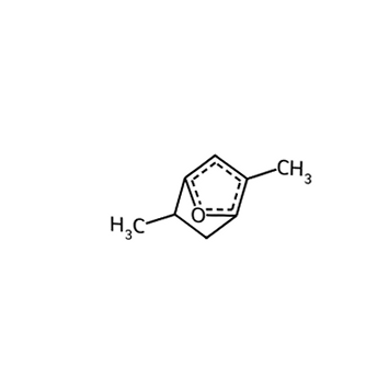 Cc1cc2oc1CC2C